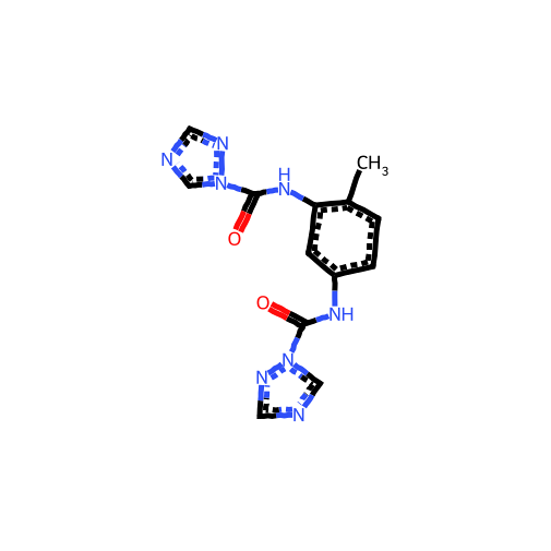 Cc1ccc(NC(=O)n2cncn2)cc1NC(=O)n1cncn1